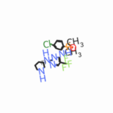 CP(C)(=O)c1ccc(Cl)cc1Nc1nc(N[C@H]2CCCNC2)ncc1C(F)(F)F